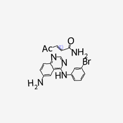 CC(=O)/C=C/C(N)=O.Nc1ccc2ncnc(Nc3cccc(Br)c3)c2c1